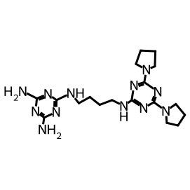 Nc1nc(N)nc(NCCCCNc2nc(N3CCCC3)nc(N3CCCC3)n2)n1